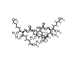 CCCCCC(C)C(=NOC(=O)NCC1(C)CC(NC(=O)ON=C(C(C)CCCCC)C(C)CCCCC)CC(C)(C)C1)C(C)CCCCC